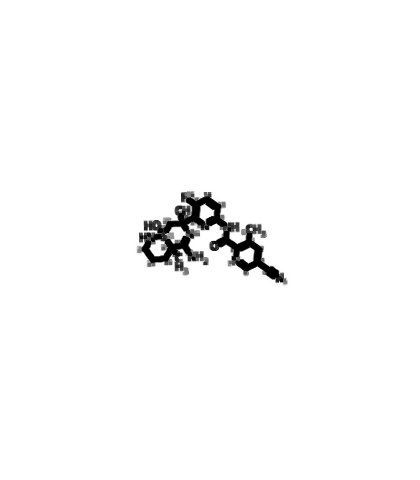 Cc1cc(C#N)cnc1C(=O)Nc1ccc(F)c(C2(C)CS3(O)NCCCC3(C)C(N)=N2)n1